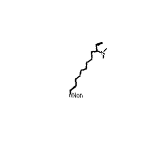 C=CC(CCCCCCCCCCCCCCCCCC)N(C)C